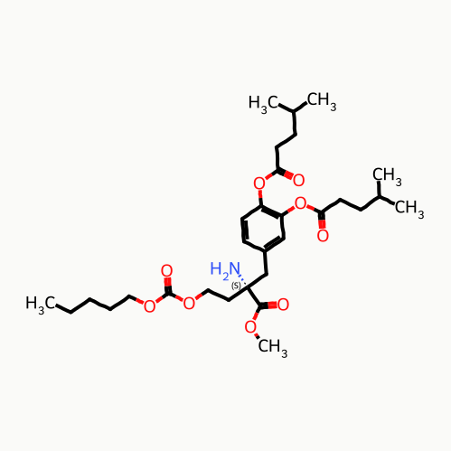 CCCCCOC(=O)OCC[C@@](N)(Cc1ccc(OC(=O)CCC(C)C)c(OC(=O)CCC(C)C)c1)C(=O)OC